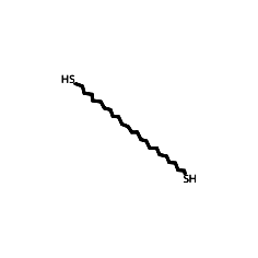 SCCCCCCCCCCCCCCCCCCCCCCCCS